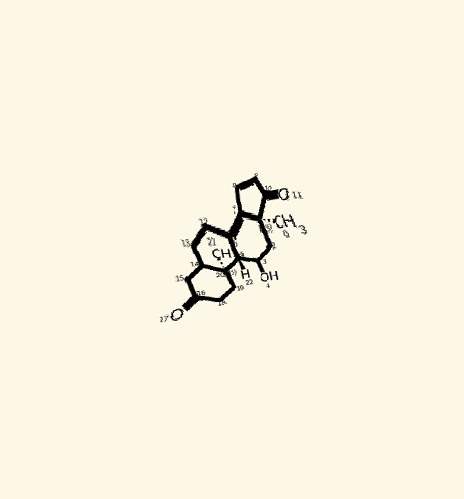 C[C@]12CC(O)[C@H]3C(=C1C=CC2=O)CCC1CC(=O)CC[C@@]13C